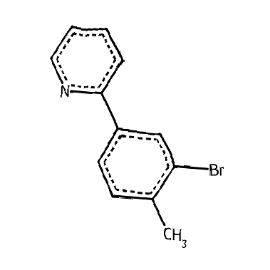 Cc1ccc(-c2ccccn2)cc1Br